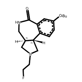 CC(C)COc1ccc2c(c1)C(=O)NC[C@@H]1CN(CCF)C[C@@H]21